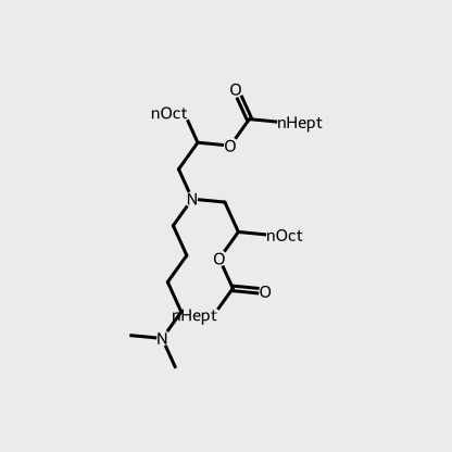 CCCCCCCCC(CN(CCCCN(C)C)CC(CCCCCCCC)OC(=O)CCCCCCC)OC(=O)CCCCCCC